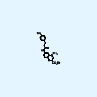 CCOC(=O)C1CN(C)c2cc(NC(=O)CCc3ccc(C(C)(C)C)cc3)ccc2O1